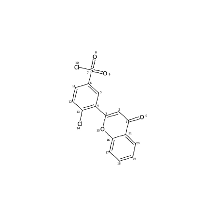 O=c1cc(-c2cc(S(=O)(=O)Cl)ccc2Cl)oc2ccccc12